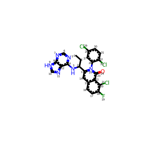 CCC(Nc1ncnc2[nH]cnc12)c1cc2ccc(F)c(Cl)c2c(=O)n1-c1cc(Cl)ccc1Cl